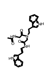 CC(=O)NCC(=O)N(CCc1c[nH]c2ccccc12)CC(=O)NC=Cc1c[nH]c2ccccc12